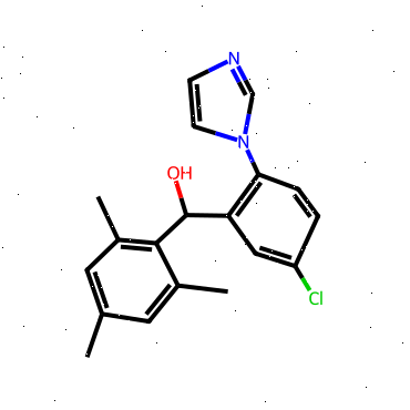 Cc1cc(C)c(C(O)c2cc(Cl)ccc2-n2ccnc2)c(C)c1